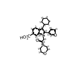 O=C(O)c1ccc2c(C3CCCCC3)c(-c3ccoc3)n(CC(=O)N3CCOCC3)c2c1